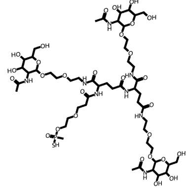 CC(=O)NC1C(OCCOCCNC(=O)CCC(NC(=O)CCC(NC(=O)CCOCCOP(C)(=O)S)C(=O)NCCOCCOC2OC(CO)C(O)C(O)C2NC(C)=O)C(=O)NCCOCCOC2OC(CO)C(O)C(O)C2NC(C)=O)OC(CO)C(O)C1O